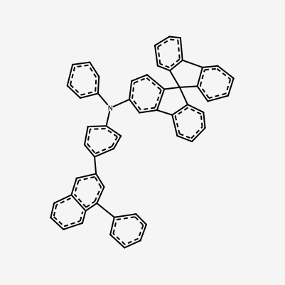 c1ccc(-c2cc(-c3ccc(N(c4ccccc4)c4ccc5c(c4)-c4ccccc4C54c5ccccc5-c5ccccc54)cc3)cc3ccccc23)cc1